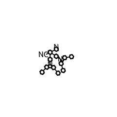 N#Cc1ccc(-c2cccnc2)c(-c2ccc(-n3c4ccc(-c5ccccc5)cc4c4cc(-c5ccccc5)ccc43)cc2)c1-c1ccc(-n2c3ccc(-c4ccccc4)cc3c3cc(-c4ccccc4)ccc32)cc1